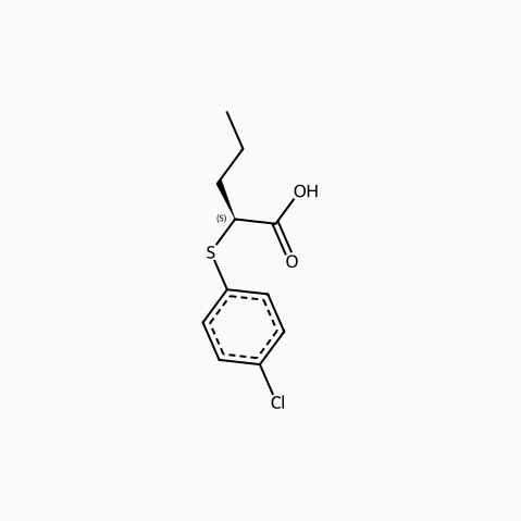 CCC[C@H](Sc1ccc(Cl)cc1)C(=O)O